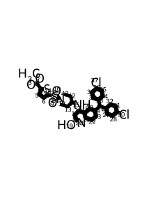 COC(=O)c1ccc(S(=O)(=O)N2CCC(Nc3cc(O)nc4ccc(C(c5ccc(Cl)cc5)c5ccc(Cl)cc5)cc34)CC2)s1